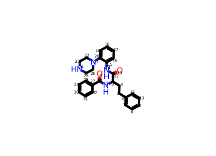 O=C(NC(CCc1ccccc1)C(=O)Nc1ccccc1N1CCNCC1)c1ccccc1